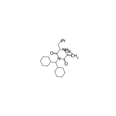 C=C(C)C(=O)N(C(=O)C(N)CC(C)C)C(C1CCCCC1)C1CCCCC1